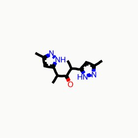 Cc1cc(C(C)C(=O)C(C)c2cc(C)n[nH]2)[nH]n1